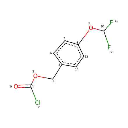 O=C(Cl)OCc1ccc(OC(F)F)cc1